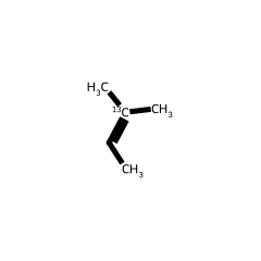 CC=[13C](C)C